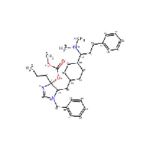 CCCC1(OC(=O)OC)N=CN(Cc2ccccc2)C1CC1CCC(C(CCc2ccccc2)N(C)C)CC1